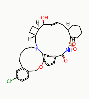 O=C1NS(=O)(=O)[C@H]2CCCC[C@@H]2C/C=C/[C@H](O)[C@@H]2CC[C@H]2CN2CCCCc3cc(Cl)ccc3COc3ccc1cc32